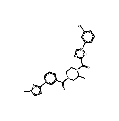 CC1CN(C(=O)c2cccc(-c3ccn(C)n3)c2)CCN1C(=O)c1ncn(-c2cccc(Cl)c2)n1